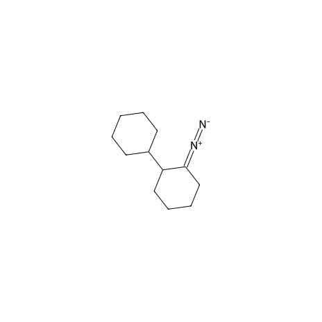 [N-]=[N+]=C1CCCCC1C1CCCCC1